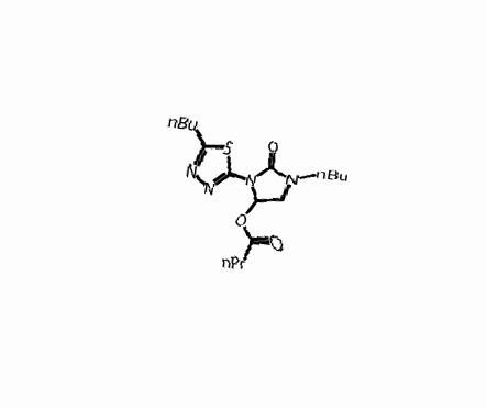 CCCCc1nnc(N2C(=O)N(CCCC)CC2OC(=O)CCC)s1